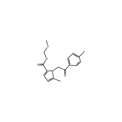 CSCOC(=O)c1ccc(C)n1CC(=O)c1ccc(F)cc1